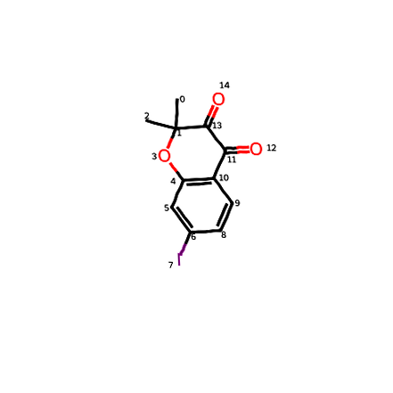 CC1(C)Oc2cc(I)ccc2C(=O)C1=O